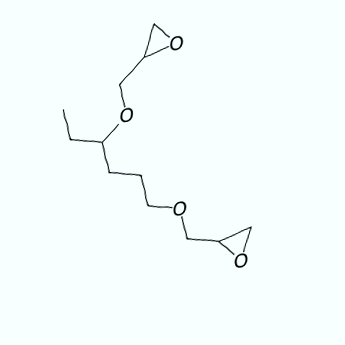 CCC(CCCOCC1CO1)OCC1CO1